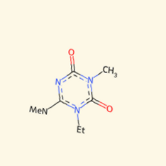 CCn1c(NC)nc(=O)n(C)c1=O